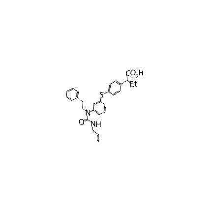 C=CCNC(=O)N(CCc1ccccc1)c1cccc(Sc2ccc(C(CC)C(=O)O)cc2)c1